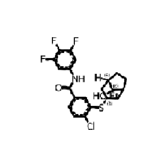 CC[C@@]1(O)C2CC[C@H]1C[C@H](Sc1cc(C(=O)Nc3cc(F)c(F)c(F)c3)ccc1Cl)C2